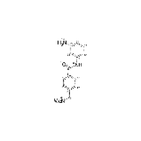 CNCc1ccc(C(=O)Nc2cccc(N)c2)cc1